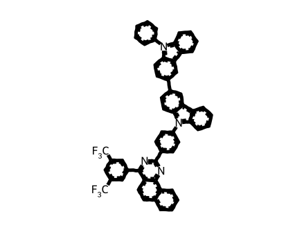 FC(F)(F)c1cc(-c2nc(-c3ccc(-n4c5ccccc5c5cc(-c6ccc7c(c6)c6ccccc6n7-c6ccccc6)ccc54)cc3)nc3c2ccc2ccccc23)cc(C(F)(F)F)c1